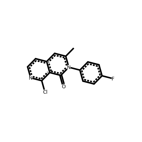 Cc1cc2ccnc(Cl)c2c(=O)n1-c1ccc(F)cc1